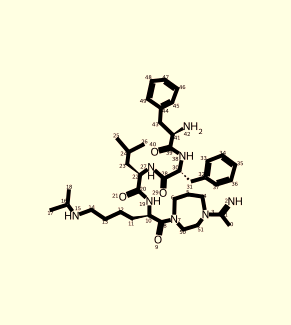 CC(=N)N1CCCN(C(=O)[C@@H](CCCCNC(C)C)NC(=O)[C@@H](CC(C)C)NC(=O)[C@@H](Cc2ccccc2)NC(=O)[C@H](N)Cc2ccccc2)CC1